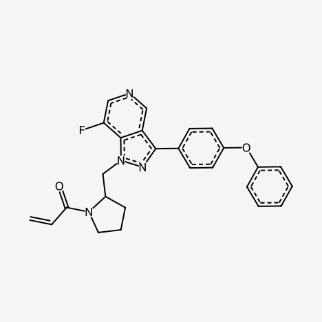 C=CC(=O)N1CCCC1Cn1nc(-c2ccc(Oc3ccccc3)cc2)c2cncc(F)c21